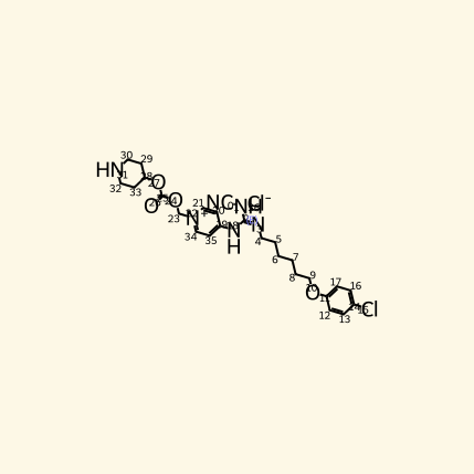 N#CN/C(=N/CCCCCCOc1ccc(Cl)cc1)Nc1cc[n+](COC(=O)OC2CCNCC2)cc1.[Cl-]